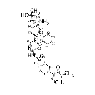 CCC(=O)N(CC)[C@H]1CC[C@H](CC(=O)Nc2cc(-c3ccccc3)c(-c3ccc([C@]4(N)C[C@](C)(O)C4)cc3)cn2)CC1